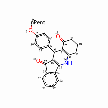 CCCCCOc1ccc(C2C3=C(CCCC3=O)NC3=C2C(=O)c2ccccc23)cc1